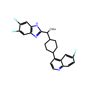 COC(c1nc2cc(F)c(F)cc2[nH]1)C1CCC(c2ccnc3ccc(F)cc23)CC1